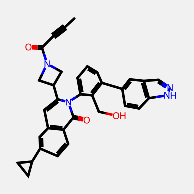 CC#CC(=O)N1CC(c2cc3cc(C4CC4)ccc3c(=O)n2-c2cccc(-c3ccc4[nH]ncc4c3)c2CO)C1